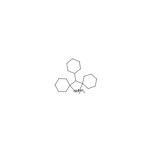 NC1(C(C2CCCCC2)C2(N)CCCCC2)CCCCC1